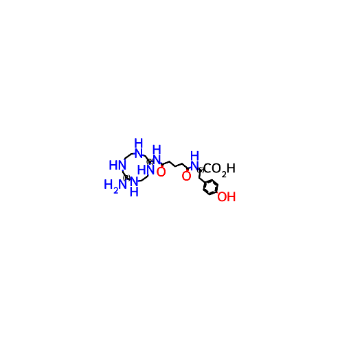 N[C@H]1CNCCNC[C@@H](NC(=O)CCCC(=O)N[C@@H](Cc2ccc(O)cc2)C(=O)O)NCCN1